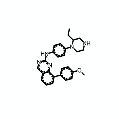 CCC1CNCCN1c1ccc(Nc2ncc3cccc(-c4ccc(OC)cc4)c3n2)cc1